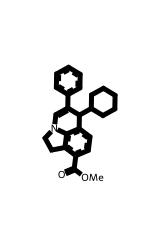 COC(=O)c1ccc2c3c1CCN3C=C(c1ccccc1)C2C1CCCCC1